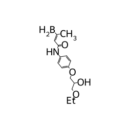 B/C(C)=C/C(=O)Nc1ccc(OCC(O)COCC)cc1